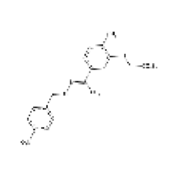 CCOC(=O)COc1cc(/C(C)=N/OCc2ccc([N+](=O)[O-])cc2)ccc1C